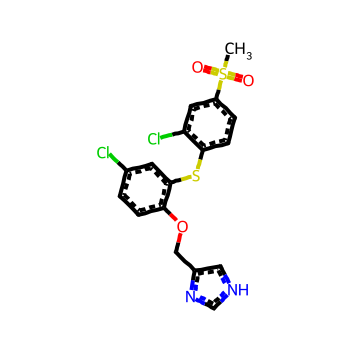 CS(=O)(=O)c1ccc(Sc2cc(Cl)ccc2OCc2c[nH]cn2)c(Cl)c1